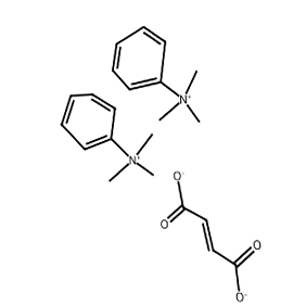 C[N+](C)(C)c1ccccc1.C[N+](C)(C)c1ccccc1.O=C([O-])/C=C/C(=O)[O-]